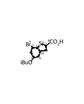 CC(C)COc1cc(Br)c2sc(C(=O)O)cc2c1